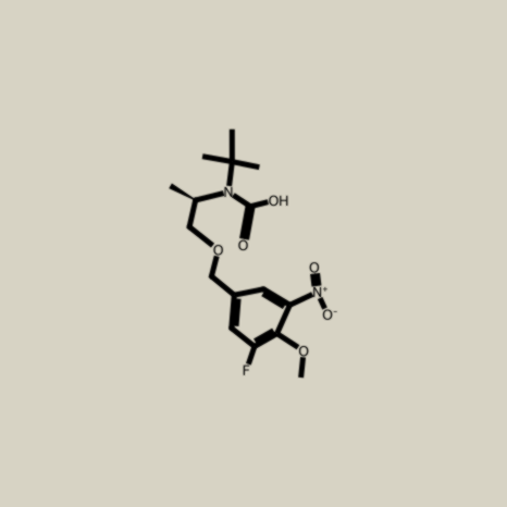 COc1c(F)cc(COC[C@@H](C)N(C(=O)O)C(C)(C)C)cc1[N+](=O)[O-]